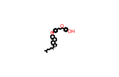 CC(C)CCC[C@@H](C)[C@H]1CCC2C3CCC4CC(Oc5ccc(C=CC(=O)c6ccc(O)cc6)cc5)CC[C@]4(C)C3CC[C@@]21C